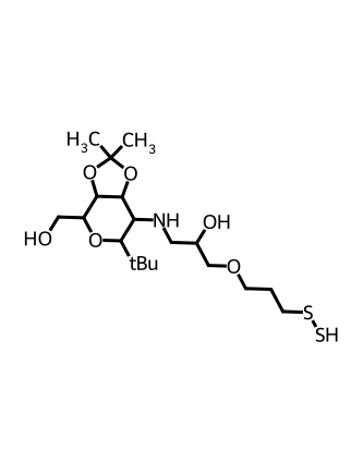 CC1(C)OC2C(CO)OC(C(C)(C)C)C(NCC(O)COCCCSS)C2O1